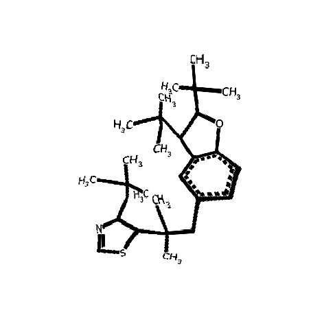 CC(C)(C)C1N=CSC1C(C)(C)Cc1ccc2c(c1)C(C(C)(C)C)C(C(C)(C)C)O2